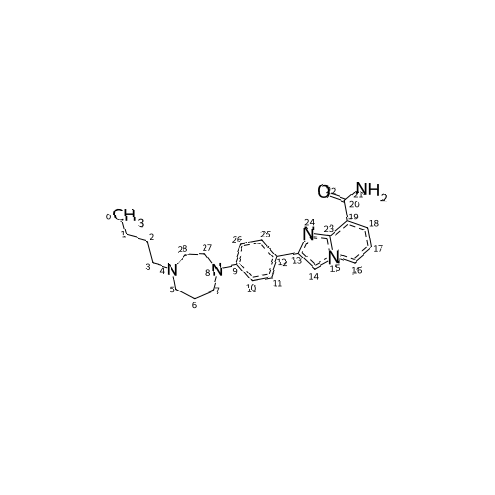 CCCCN1CCCN(c2ccc(-c3cn4cccc(C(N)=O)c4n3)cc2)CC1